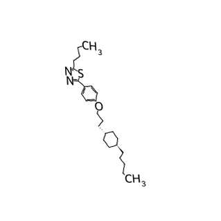 CCCCC[C@H]1CC[C@H](CCCOc2ccc(-c3nnc(CCCC)s3)cc2)CC1